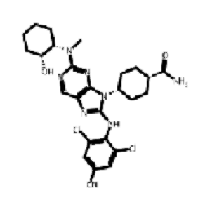 CN(c1ncc2nc(Nc3c(Cl)cc(C#N)cc3Cl)n([C@H]3CC[C@H](C(N)=O)CC3)c2n1)[C@H]1CCCC[C@H]1O